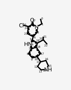 CCn1cc(-c2[nH]c3ccc(C4CCNCC4)cc3c2C(C)C)cc(Cl)c1=O